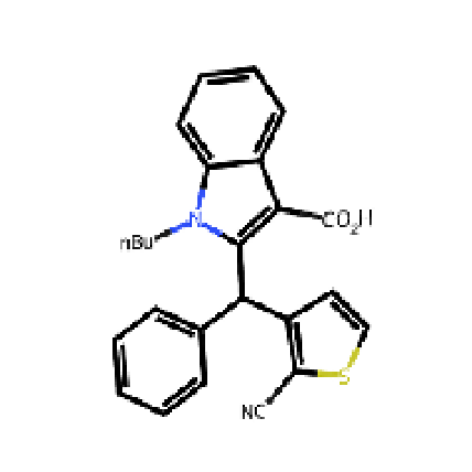 CCCCn1c(C(c2ccccc2)c2ccsc2C#N)c(C(=O)O)c2ccccc21